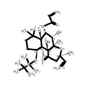 C=CC(=O)O[C@H]1[C@H]2C(C)(C)CC[C@H](O[Si](C)(C)C(C)(C)C)[C@]2(C)[C@@]2(O)C(=O)C[C@](C)(C=C)O[C@]2(C)[C@H]1O